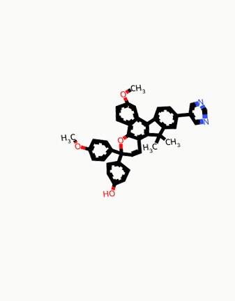 COc1ccc(C2(c3ccc(O)cc3)C=Cc3c4c(c5cc(OC)ccc5c3O2)-c2ccc(-c3cncnc3)cc2C4(C)C)cc1